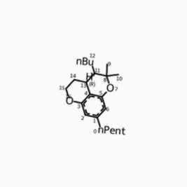 CCCCCc1cc2c3c(c1)OC(C)(C)C(CCCC)[C@H]3CCO2